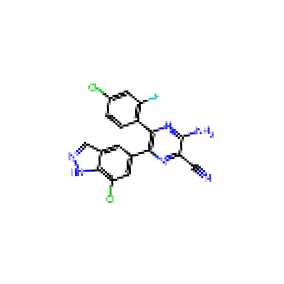 N#Cc1nc(-c2cc(Cl)c3[nH]ncc3c2)c(-c2ccc(Cl)cc2F)nc1N